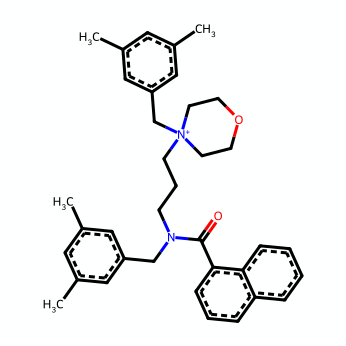 Cc1cc(C)cc(CN(CCC[N+]2(Cc3cc(C)cc(C)c3)CCOCC2)C(=O)c2cccc3ccccc23)c1